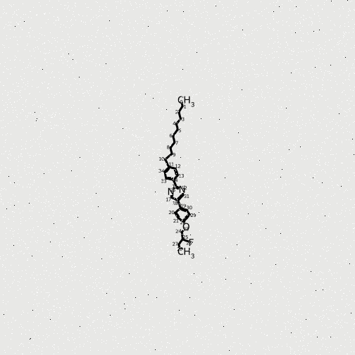 CCCCCCCCCCCc1ccc(-c2ncc(-c3ccc(OCC(F)CC)cc3)cn2)cc1